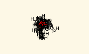 CC[C@H](C)[C@H](NC(=O)[C@@H](NC(=O)[C@@H]1CCCN1C(=O)[C@H](CO)NC(=O)[C@H](CS)NC(=O)[C@@H]1CCCN1)[C@@H](C)O)C(=O)N1CCC[C@H]1C(=O)N[C@@H](CC(C)C)C(=O)N[C@@H](CCC(N)=O)C(=O)N[C@@H](CC(=O)O)C(=O)N[C@@H](CC(C)C)C(=O)N[C@@H](CO)C(=O)N[C@@H](CC(C)C)C(=O)N[C@@H](CC(C)C)C(=O)N[C@@H](CCCNC(=N)N)C(=O)N[C@@H](CCCNC(=N)N)C(=O)N[C@@H](C)C(=O)NCC(=O)N[C@H](C(=O)N[C@H](C(=O)O)[C@@H](C)O)C(C)C